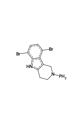 PN1CCc2[nH]c3c(Br)ccc(Br)c3c2C1